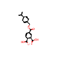 CC(C)c1ccc(COC(=O)c2ccc(C(=O)O)c(C(=O)O)c2)cc1